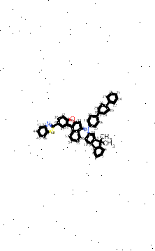 CC1(C)c2ccccc2-c2ccc(N(c3ccc(-c4ccc(-c5ccccc5)cc4)cc3)c3cc4oc5ccc(-c6nc7ccccc7s6)cc5c4c4ccccc34)cc21